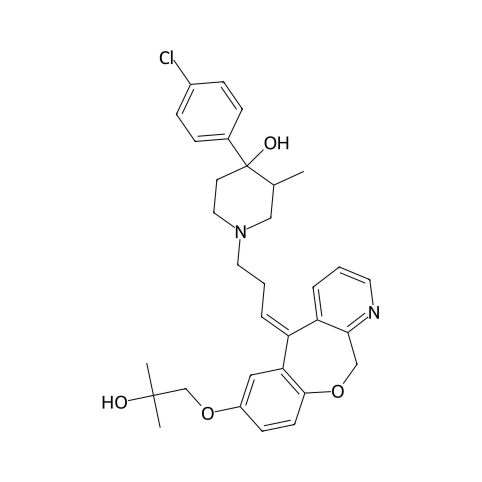 CC1CN(CCC=C2c3cc(OCC(C)(C)O)ccc3OCc3ncccc32)CCC1(O)c1ccc(Cl)cc1